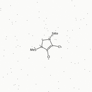 CSN1CN(SC)C(Cl)=C1Cl